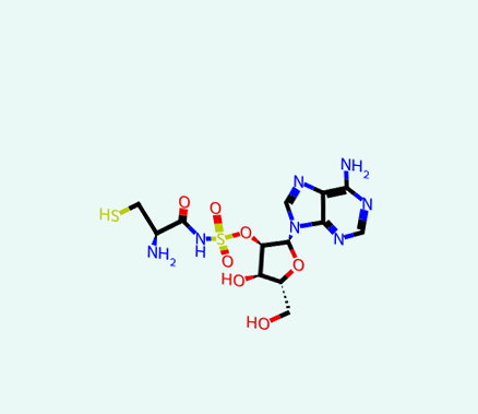 Nc1ncnc2c1ncn2[C@@H]1O[C@H](CO)[C@@H](O)[C@H]1OS(=O)(=O)NC(=O)[C@@H](N)CS